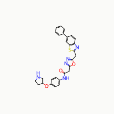 O=C(Cc1nnc(Cc2nc3ccc(-c4ccccc4)cc3s2)o1)Nc1ccc(OC2CCNC2)cc1